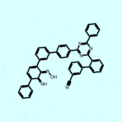 N#Cc1cccc(-c2ccccc2-c2nc(-c3ccccc3)nc(-c3ccc(-c4cccc(C5=CC=C(c6ccccc6)C(=N)/C5=N\O)c4)cc3)n2)c1